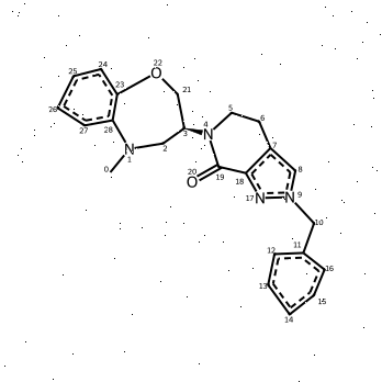 CN1C[C@H](N2CCc3cn(Cc4ccccc4)nc3C2=O)COc2ccccc21